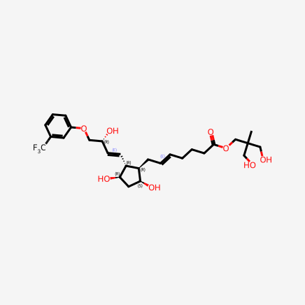 CC(CO)(CO)COC(=O)CCC/C=C/C[C@@H]1[C@@H](/C=C/[C@@H](O)COc2cccc(C(F)(F)F)c2)[C@H](O)C[C@@H]1O